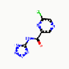 O=C(Nc1nnn[nH]1)c1cncc(Cl)n1